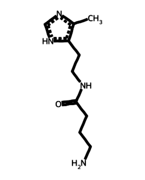 Cc1nc[nH]c1CCNC(=O)CCCN